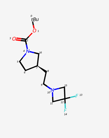 CC(C)(C)OC(=O)N1CC[C@H](CCN2CC(F)(F)C2)C1